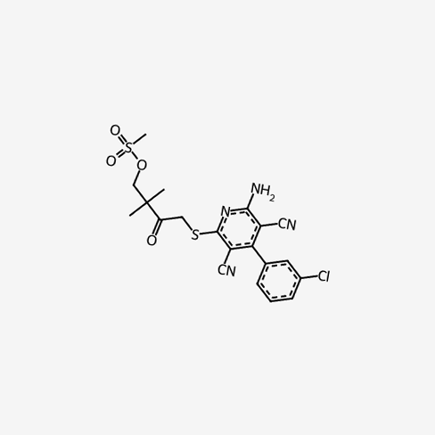 CC(C)(COS(C)(=O)=O)C(=O)CSc1nc(N)c(C#N)c(-c2cccc(Cl)c2)c1C#N